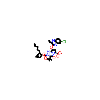 C=CCCC[C@H]1[C@H](OC(=O)N[C@H](C(=O)N2C[C@H](Oc3nc4cc(Cl)ccc4nc3C=C)C[C@H]2C(=O)OC)C(C)(C)C)CC2C[C@@H]21